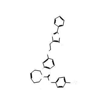 COc1ccc(OC(=O)N2[C@H](C(=O)O)CC=CC[C@H]2c2cccc(OCCc3nc(-c4ccccc4)oc3C)c2)cc1